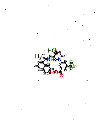 C[C@@H](NC[C@H]1CN(c2cc(C(=O)O)cc(C(F)(F)F)c2)CCO1)c1cccc2ccccc12.Cl